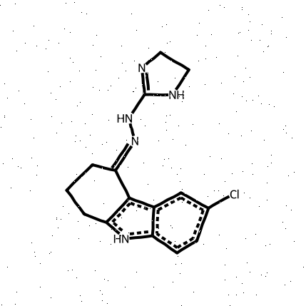 Clc1ccc2[nH]c3c(c2c1)C(=NNC1=NCCN1)CCC3